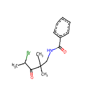 CC(Br)C(=O)C(C)(C)CNC(=O)c1ccccc1